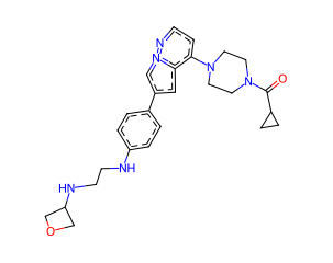 O=C(C1CC1)N1CCN(c2ccnn3cc(-c4ccc(NCCNC5COC5)cc4)cc23)CC1